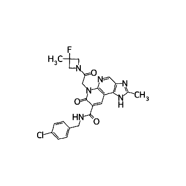 Cc1nc2cnc3c(cc(C(=O)NCc4ccc(Cl)cc4)c(=O)n3CC(=O)N3CC(C)(F)C3)c2[nH]1